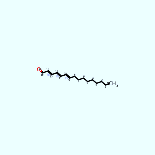 CCCCCCCCC/C=C/C=C/C=C/C=O